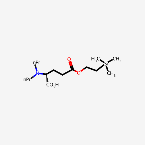 CCCN(CCC)[C@@H](CCC(=O)OCC[Si](C)(C)C)C(=O)O